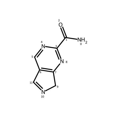 NC(=O)c1ncc2c(n1)CN=C2